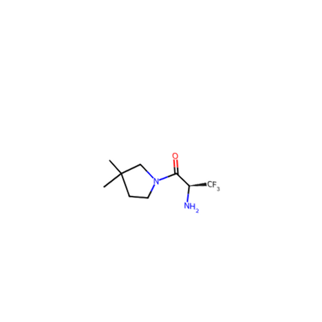 CC1(C)CCN(C(=O)[C@H](N)C(F)(F)F)C1